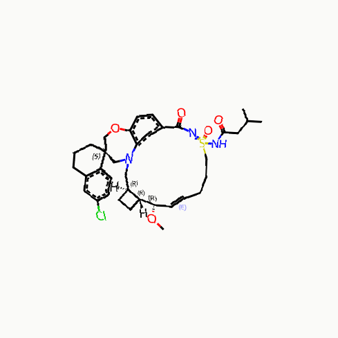 CO[C@H]1/C=C/CCCS(=O)(NC(=O)CC(C)C)=NC(=O)c2ccc3c(c2)N(C[C@@H]2CC[C@H]21)C[C@@]1(CCCc2cc(Cl)ccc21)CO3